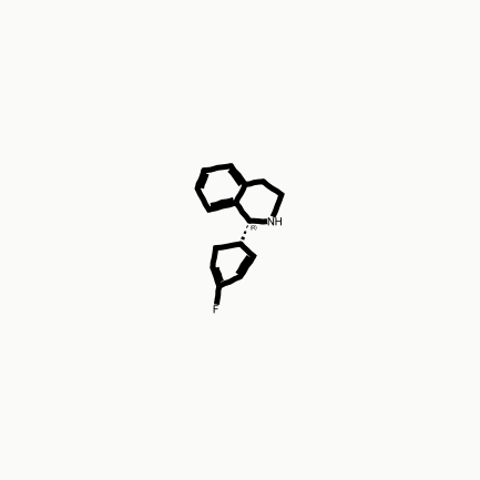 FC1=CCC([C@H]2NCCc3ccccc32)C=C1